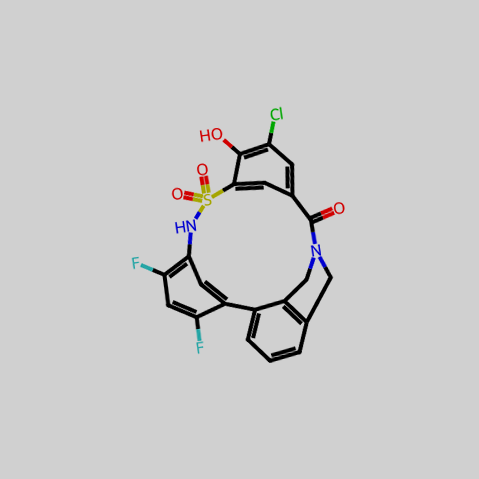 O=C1c2cc(Cl)c(O)c(c2)S(=O)(=O)Nc2cc(c(F)cc2F)-c2cccc3c2CN1C3